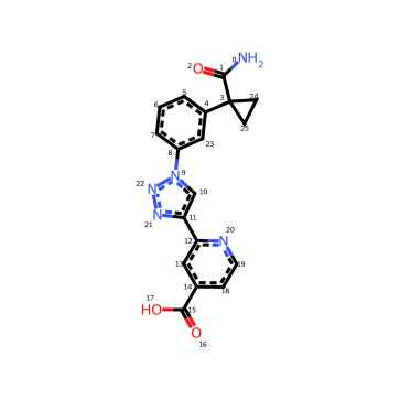 NC(=O)C1(c2cccc(-n3cc(-c4cc(C(=O)O)ccn4)nn3)c2)CC1